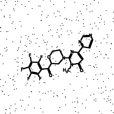 Cn1c(N2CCOC(C(=O)c3c(F)c(F)c(F)c(F)c3F)C2)nc(-c2ccncn2)cc1=O